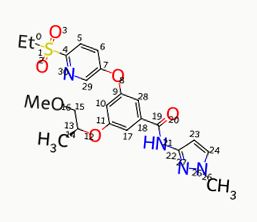 CCS(=O)(=O)c1ccc(Oc2cc(O[C@@H](C)COC)cc(C(=O)Nc3ccn(C)n3)c2)cn1